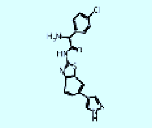 NC(C(=O)Nc1nc2ccc(-c3cn[nH]c3)cc2s1)c1ccc(Cl)cc1